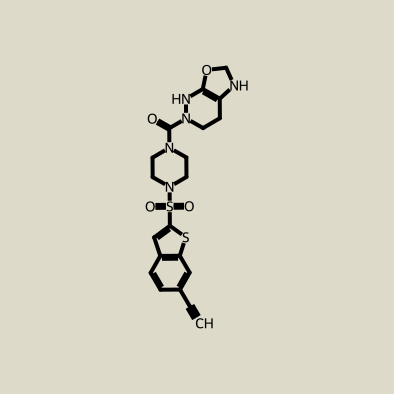 C#Cc1ccc2cc(S(=O)(=O)N3CCN(C(=O)N4CCC5=C(N4)OCN5)CC3)sc2c1